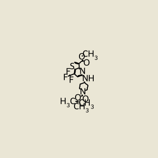 COC(=O)c1csc2c(C(F)(F)F)cc(NC3CCN(C(=O)OC(C)(C)C)CC3)nc12